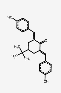 CC(C)(C)C1C/C(=C\c2ccc(O)cc2)C(=O)/C(=C/c2ccc(O)cc2)C1